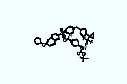 CC(C)(C)OC(=O)NC1CCN(C(=O)[C@@H]2CN(Cc3ccc(C4(C(F)(F)F)CC4)cc3)CCN2S(=O)(=O)c2ccc3cc(OC4CCCC4)ccc3c2)CC1